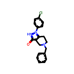 O=c1[nH]n(-c2ccc(Cl)cc2)c2c1CN(Cc1ccccc1)CC2